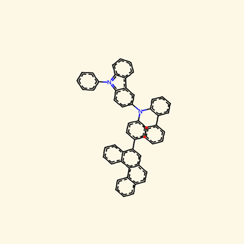 c1ccc(-c2ccccc2N(c2ccc(-c3cc4ccc5ccccc5c4c4ccccc34)cc2)c2ccc3c(c2)c2ccccc2n3-c2ccccc2)cc1